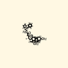 C[C@H](CCC(=O)NCC[N+]1(Cc2ccccc2)CCCC1)[C@H]1CC[C@H]2[C@@H]3[C@H](O)C[C@@H]4C[C@H](O)CC[C@]4(C)[C@H]3C[C@H](O)[C@]12C